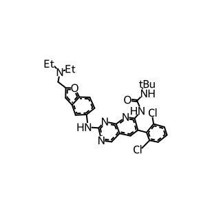 CCN(CC)Cc1cc2cc(Nc3ncc4cc(-c5c(Cl)cccc5Cl)c(NC(=O)NC(C)(C)C)nc4n3)ccc2o1